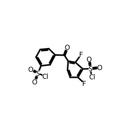 O=C(c1cccc(S(=O)(=O)Cl)c1)c1ccc(F)c(S(=O)(=O)Cl)c1F